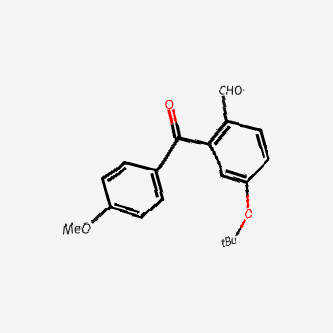 COc1ccc(C(=O)c2cc(OC(C)(C)C)ccc2[C]=O)cc1